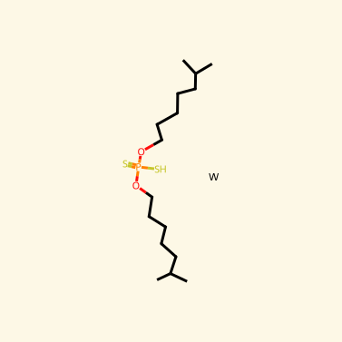 CC(C)CCCCCOP(=S)(S)OCCCCCC(C)C.[W]